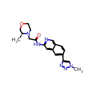 C[C@H]1COCCN1CC(=O)Nc1cc2cc(-c3cn(C)nn3)ccc2cn1